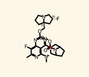 Cc1nc(N(C)C)c2c(N3CC4CCC(C3)N4C(=O)OC(C)(C)C)nc(OC[C@@]34CCCN3C[C@H](F)C4)nc2c1F